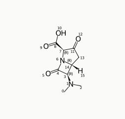 CN(C)[C@H]1C(=O)N2[C@@H](C(=O)O)C(=O)C[C@H]12